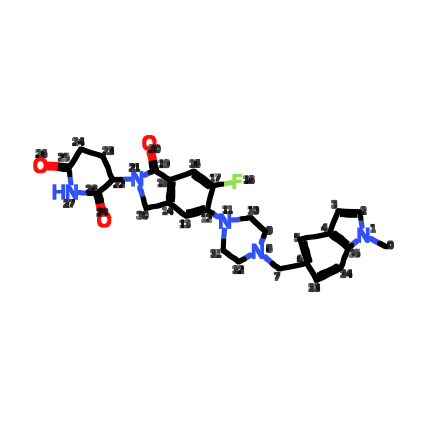 Cn1ccc2cc(CN3CCN(c4cc5c(cc4F)C(=O)N(C4CCC(=O)NC4=O)C5)CC3)ccc21